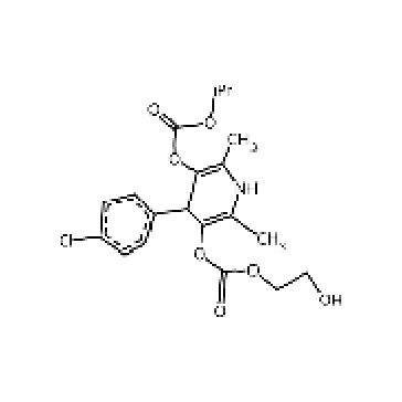 CC1=C(OC(=O)OCCO)C(c2ccc(Cl)cc2)C(OC(=O)OC(C)C)=C(C)N1